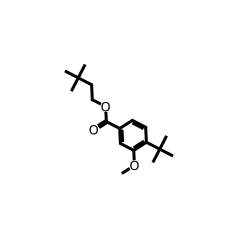 COc1cc(C(=O)OCCC(C)(C)C)ccc1C(C)(C)C